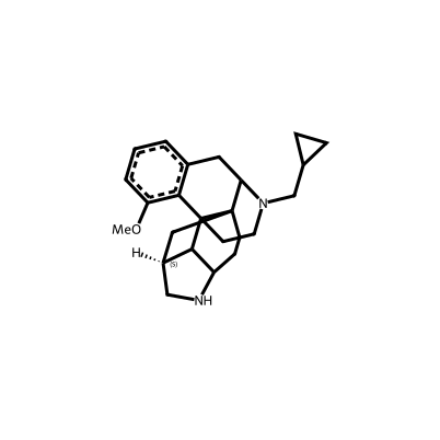 COc1cccc2c1C13CCN(CC4CC4)C(C2)C12CCC1NC[C@@H](C2)C13